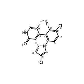 O=c1cc(-c2c(-n3cc(Cl)nn3)ccc(Cl)c2F)c(F)c[nH]1